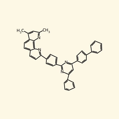 Cc1cc(C)c2ccc3ccc(-c4ccc(-c5nc(-c6ccccc6)cc(-c6ccc(-c7ccccc7)cc6)n5)cc4)nc3c2n1